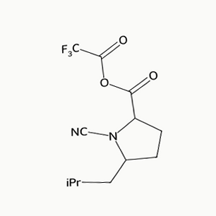 CC(C)CC1CCC(C(=O)OC(=O)C(F)(F)F)N1C#N